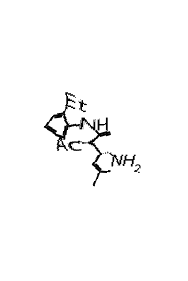 C=C(Nc1ccccc1CC)[C@@H](C(C)=O)[C@@H](C=C(C)C)CN